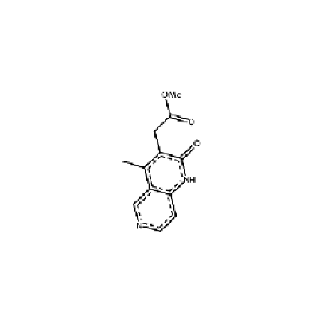 COC(=O)Cc1c(C)c2cnccc2[nH]c1=O